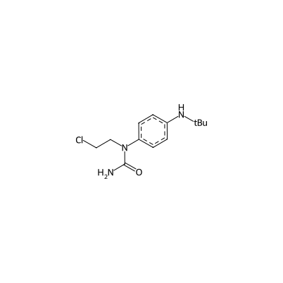 CC(C)(C)Nc1ccc(N(CCCl)C(N)=O)cc1